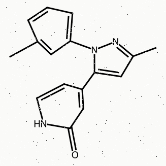 Cc1cccc(-n2nc(C)cc2-c2cc[nH]c(=O)c2)c1